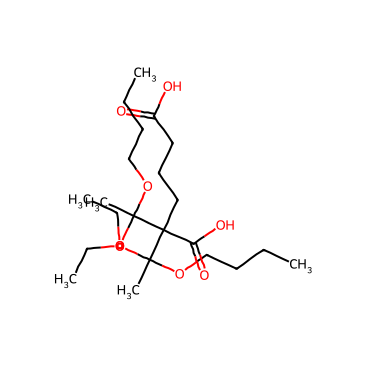 CCCCOC(C)(OCC)C(CCCC(=O)O)(C(=O)O)C(C)(OCC)OCCCC